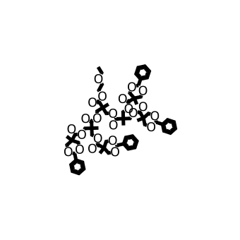 CCOCCOC(=O)C(C)(COC(=O)C(C)(COC(=O)C1(C)COC(c2ccccc2)OC1)COC(=O)C1(C)COC(c2ccccc2)OC1)COC(=O)C(C)(COC(=O)C1(C)COC(c2ccccc2)OC1)COC(=O)C1(C)COC(c2ccccc2)OC1